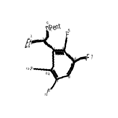 CCCCCC(CC)c1c(F)c(F)cc(F)c1F